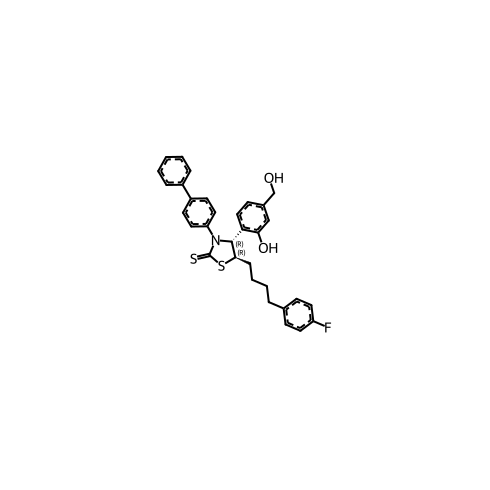 OCc1ccc([C@@H]2[C@@H](CCCCc3ccc(F)cc3)SC(=S)N2c2ccc(-c3ccccc3)cc2)c(O)c1